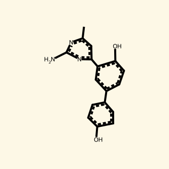 Cc1cc(-c2cc(-c3ccc(O)cc3)ccc2O)nc(N)n1